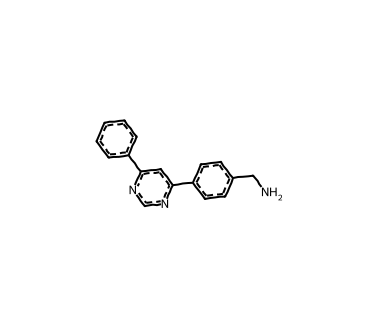 NCc1ccc(-c2cc(-c3ccccc3)ncn2)cc1